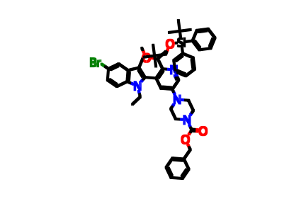 CCn1c(-c2cc(N3CCN(C(=O)OCc4ccccc4)CC3)cnc2C(C)OC)c(CC(C)(C)CO[Si](c2ccccc2)(c2ccccc2)C(C)(C)C)c2cc(Br)ccc21